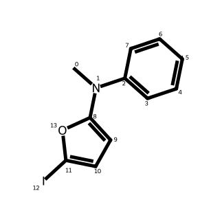 CN(c1cc[c]cc1)c1ccc(I)o1